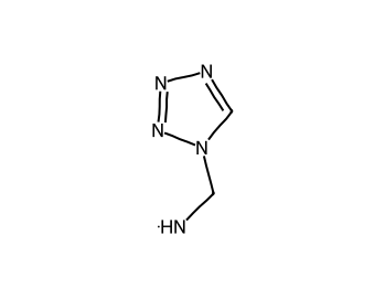 [NH]Cn1cnnn1